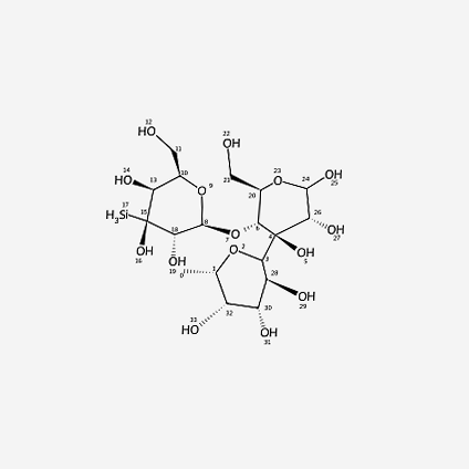 C[C@@H]1OC([C@]2(O)[C@H](O[C@@H]3O[C@H](CO)[C@H](O)[C@@](O)([SiH3])[C@H]3O)[C@@H](CO)OC(O)[C@@H]2O)[C@@H](O)[C@H](O)[C@@H]1O